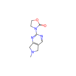 CN1Cc2cnc(N3CCOC3=O)nc2C1